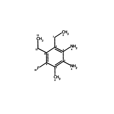 CCc1c(N)c(N)c(C)c(F)c1CC